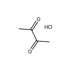 CC(=O)C(C)=O.Cl